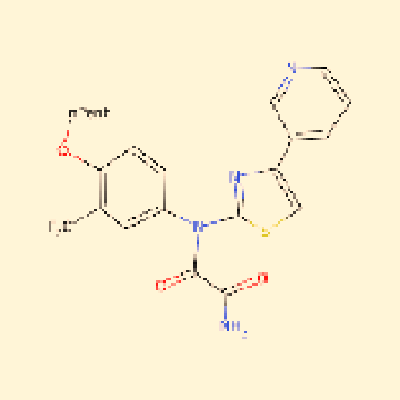 CCCCCOc1ccc(N(C(=O)C(N)=O)c2nc(-c3cccnc3)cs2)cc1C(F)(F)F